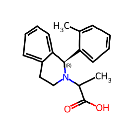 Cc1ccccc1[C@@H]1c2ccccc2CCN1C(C)C(=O)O